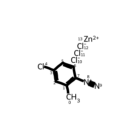 Cc1cc(Cl)ccc1[N+]#N.[Cl-].[Cl-].[Cl-].[Zn+2]